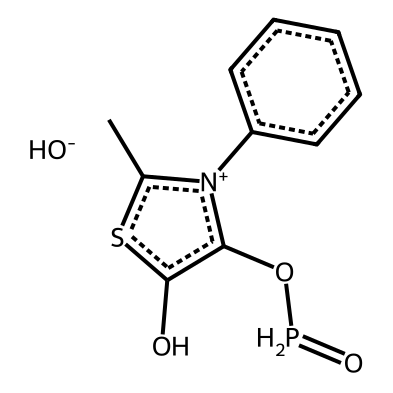 Cc1sc(O)c(O[PH2]=O)[n+]1-c1ccccc1.[OH-]